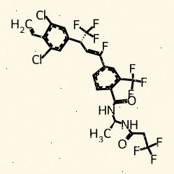 C=Cc1c(Cl)cc([C@@H](/C=C(\F)c2ccc(C(=O)N[C@H](C)NC(=O)CC(F)(F)F)c(C(F)(F)F)c2)C(F)(F)F)cc1Cl